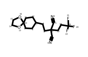 N#CC(C#N)(CCC1CCC2(CC1)OCCO2)CCC(F)(F)F